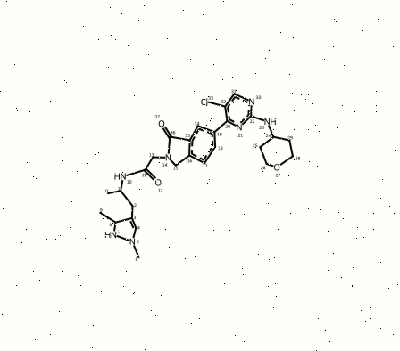 CC(CC1=CN(C)NC1C)NC(=O)CN1Cc2ccc(-c3nc(NC4CCOCC4)ncc3Cl)cc2C1=O